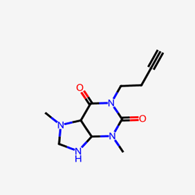 C#CCCN1C(=O)C2C(NCN2C)N(C)C1=O